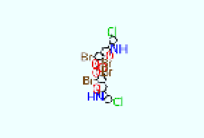 O=C(Oc1c(Br)cc(C=C2C(=O)Nc3ccc(Cl)cc32)cc1Br)Oc1c(Br)cc(C=C2C(=O)Nc3ccc(Cl)cc32)cc1Br